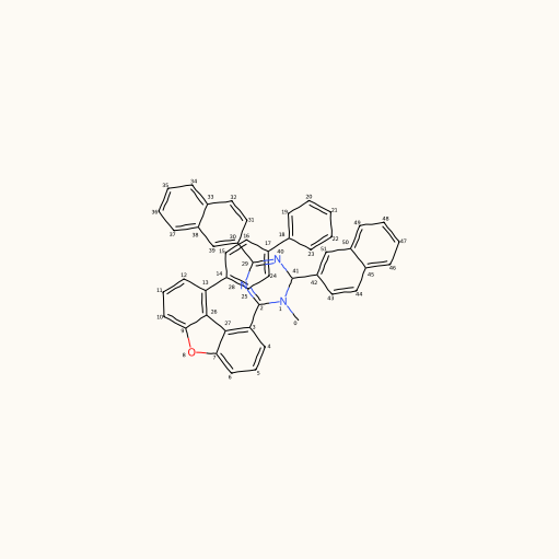 CN1C(c2cccc3oc4cccc(-c5ccc(-c6ccccc6)cc5)c4c23)=NC(c2ccc3ccccc3c2)=NC1c1ccc2ccccc2c1